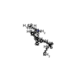 CCC(=O)NCCNC(=O)/N=C(/N)NCCC[C@@H](NC(=O)[C@H](c1ccccc1)c1ccc(NCCCNc2c(NCCCCCCN)c(=O)c2=O)cc1)C(=O)NCc1ccc(O)cc1